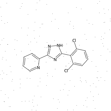 Clc1cccc(Cl)c1-c1nc(-c2ccccn2)n[nH]1